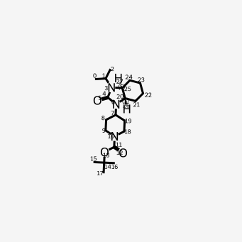 CC(C)N1C(=O)N(C2CCN(C(=O)OC(C)(C)C)CC2)[C@H]2CCCC[C@@H]21